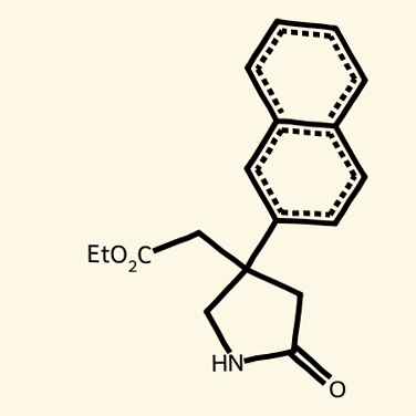 CCOC(=O)CC1(c2ccc3ccccc3c2)CNC(=O)C1